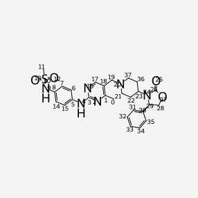 Cc1nc(Nc2ccc(NS(C)(=O)=O)cc2)ncc1CN1CCC(N2C(=O)OC[C@H]2c2ccccc2)CC1